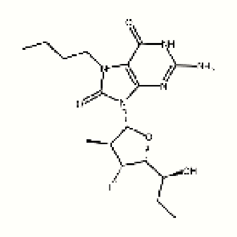 CCCCn1c(=O)n([C@@H]2O[C@H]([C@@H](O)CC)[C@H](F)[C@H]2C)c2nc(N)[nH]c(=O)c21